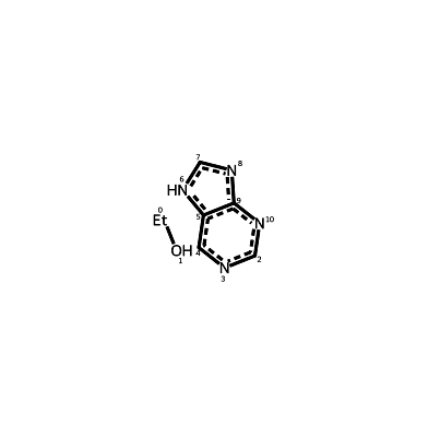 CCO.c1ncc2[nH]cnc2n1